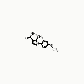 CSc1ccc(-n2ncc(C(N)=O)c2C)cc1